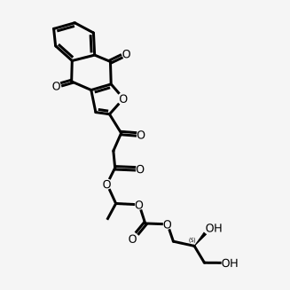 CC(OC(=O)CC(=O)c1cc2c(o1)C(=O)c1ccccc1C2=O)OC(=O)OC[C@@H](O)CO